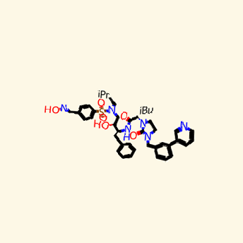 CC[C@H](C)[C@@H](C(=O)N[C@@H](Cc1ccccc1)[C@@H](O)CN(CC(C)C)S(=O)(=O)c1ccc(C=NO)cc1)N1CCN(Cc2cccc(-c3cccnc3)c2)C1=O